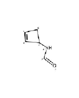 O=[C]NC1C=CC1